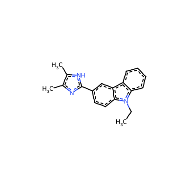 CCn1c2ccccc2c2cc(-c3nc(C)c(C)[nH]3)ccc21